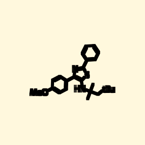 COc1ccc(-c2nc(-c3ccccc3)sc2NC(C)(C)CC(C)(C)C)cc1